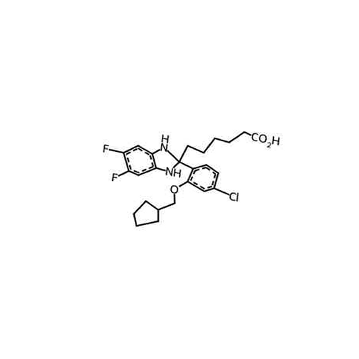 O=C(O)CCCCCC1(c2ccc(Cl)cc2OCC2CCCC2)Nc2cc(F)c(F)cc2N1